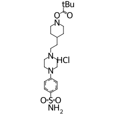 CC(C)(C)C(=O)ON1CCC(CCN2CCN(c3ccc(S(N)(=O)=O)cc3)CC2)CC1.Cl